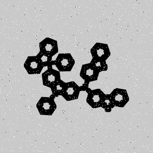 c1ccc(-n2c3ccc(N(c4ccc5c(c4)oc4ccccc45)c4ccc5oc6ccccc6c5c4)cc3c3cc(C4(c5ccccc5)c5ccccc5-c5ccccc54)ccc32)cc1